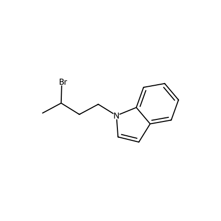 CC(Br)CCn1ccc2ccccc21